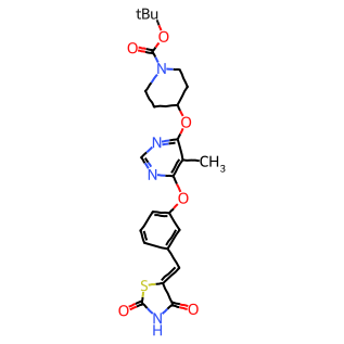 Cc1c(Oc2cccc(/C=C3\SC(=O)NC3=O)c2)ncnc1OC1CCN(C(=O)OC(C)(C)C)CC1